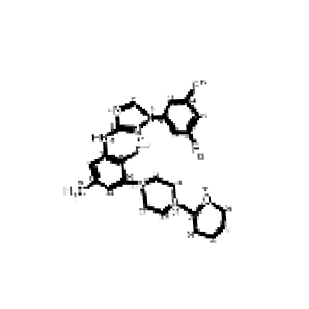 Cc1cc(Nc2ncn(-c3cc(F)cc(F)c3)n2)c(F)c(N2CCN(C3CCCCO3)CC2)c1